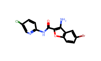 Nc1c(C(=O)Nc2ccc(Cl)cn2)oc2ccc(Br)cc12